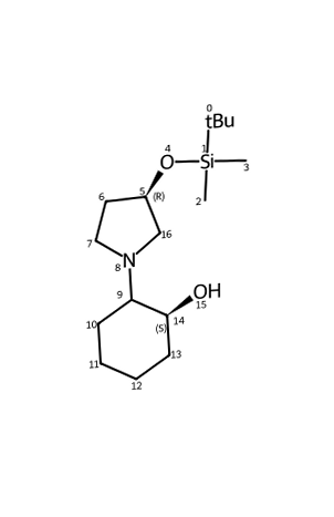 CC(C)(C)[Si](C)(C)O[C@@H]1CCN(C2CCCC[C@@H]2O)C1